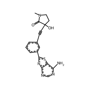 CN1CCC(O)(C#Cc2cccc(-c3nc4ncnc(N)c4s3)c2)C1=O